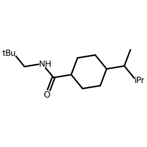 CC(C)C(C)C1CCC(C(=O)NCC(C)(C)C)CC1